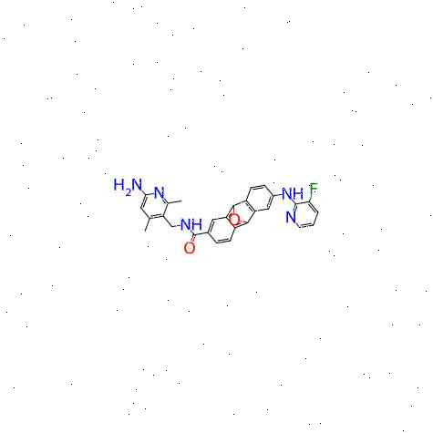 Cc1cc(N)nc(C)c1CNC(=O)c1ccc2c(c1)c1oc2c2cc(Nc3ncccc3F)ccc21